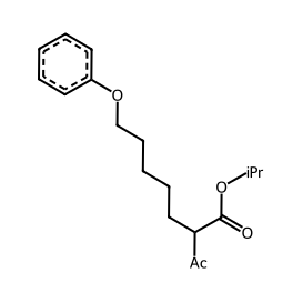 CC(=O)C(CCCCCOc1ccccc1)C(=O)OC(C)C